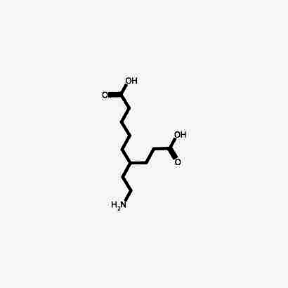 NCCC(CCCCC(=O)O)CCC(=O)O